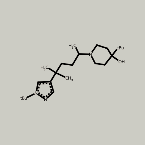 CC(CCC(C)(C)c1cnn(C(C)(C)C)c1)N1CCC(O)(C(C)(C)C)CC1